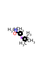 Cc1cc([I+]c2cccc(C(=O)N(C)C)c2)cc(C)c1C